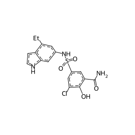 CCc1cc(NS(=O)(=O)c2cc(Cl)c(O)c(C(N)=O)c2)cc2[nH]ccc12